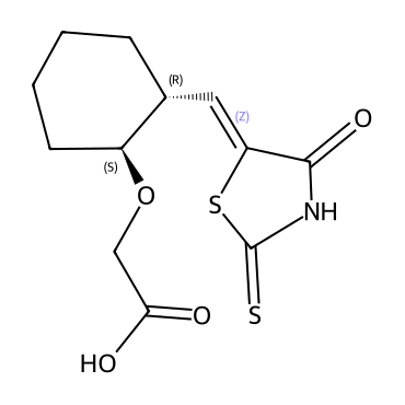 O=C(O)CO[C@H]1CCCC[C@@H]1/C=C1\SC(=S)NC1=O